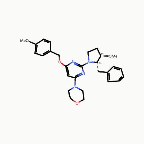 COc1ccc(COc2cc(N3CCOCC3)nc(N3CC[C@@H](OC)[C@@H]3Cc3ccccc3)n2)cc1